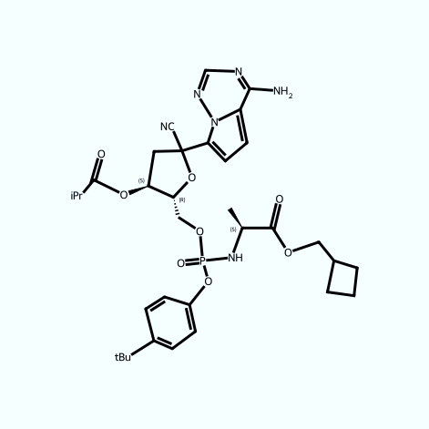 CC(C)C(=O)O[C@H]1CC(C#N)(c2ccc3c(N)ncnn23)O[C@@H]1COP(=O)(N[C@@H](C)C(=O)OCC1CCC1)Oc1ccc(C(C)(C)C)cc1